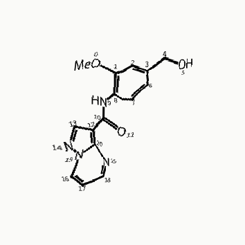 COc1cc(CO)ccc1NC(=O)c1cnn2cccnc12